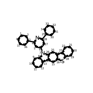 c1ccc(-c2cc(-n3c4ccccc4c4cc5sc6ccccc6c5cc43)cc(-c3ccccc3)n2)cc1